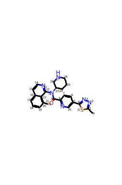 Cc1nnc(-c2ccc(C(=O)N(c3nccc4cccc(C)c34)[C@@H]3CCCNC3)nc2)s1